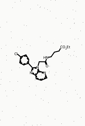 CCOC(=O)CCCNC(=O)Cn1c(-c2ccc(Cl)cc2)nc2cccnc21